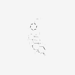 COc1ccc([C@H]2CC[C@H]3[C@@H]4CC[C@H]5NC(=O)C=C[C@]5(C)[C@H]4CC[C@]23C)cc1